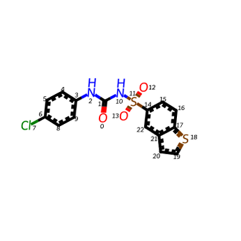 O=C(Nc1ccc(Cl)cc1)NS(=O)(=O)c1ccc2sccc2c1